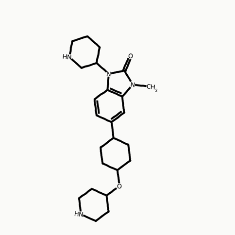 Cn1c(=O)n(C2CCCNC2)c2ccc(C3CCC(OC4CCNCC4)CC3)cc21